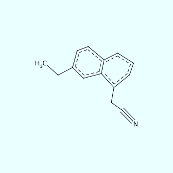 CCc1ccc2cccc(CC#N)c2c1